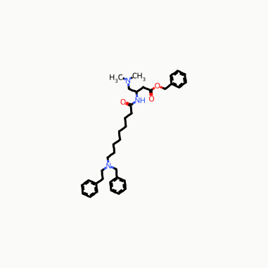 CN(C)CC(CC(=O)OCc1ccccc1)NC(=O)CCCCCCCCN(CCc1ccccc1)Cc1ccccc1